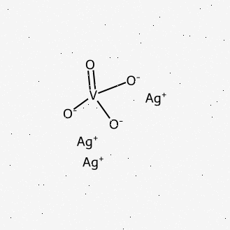 [Ag+].[Ag+].[Ag+].[O]=[V]([O-])([O-])[O-]